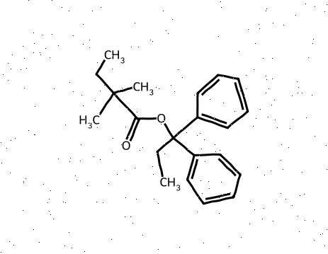 CCC(C)(C)C(=O)OC(CC)(c1ccccc1)c1ccccc1